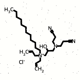 C=CC[N+](CC=C)(CCCCCCCCCCCC)CC(O)CN(CCC#N)CCC#N.[Cl-]